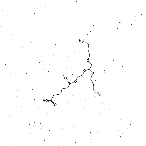 CCCCOCC(OCCCC)OCCOC(=O)CCCCC(=O)O